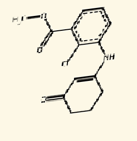 COC(=O)c1cccc(NC2=CC(=O)CCC2)c1Cl